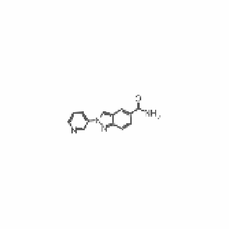 NC(=O)c1ccc2nn(-c3cccnc3)cc2c1